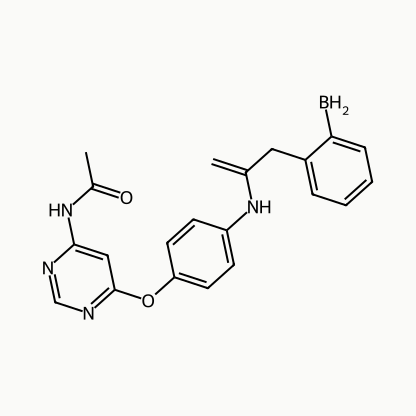 Bc1ccccc1CC(=C)Nc1ccc(Oc2cc(NC(C)=O)ncn2)cc1